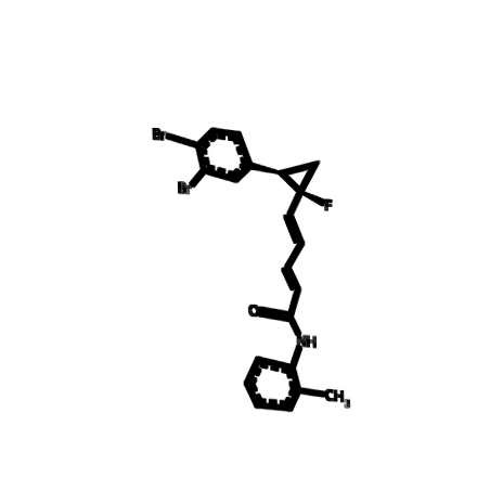 Cc1ccccc1NC(=O)C=CC=C[C@@]1(F)C[C@@H]1c1ccc(Br)c(Br)c1